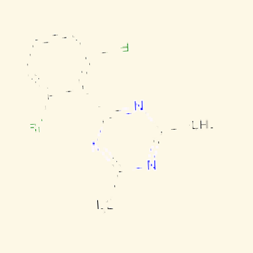 Cc1nc(C)nc(-c2c(Br)cccc2Br)n1